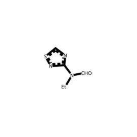 CCN([C]=O)c1ncsn1